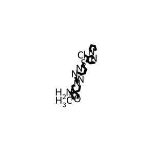 C[C@@H]1OCC2(CCN(c3cnc4nc(Sc5ccnc(N6CCCC6)c5Cl)ccc4n3)CC2)[C@@H]1N